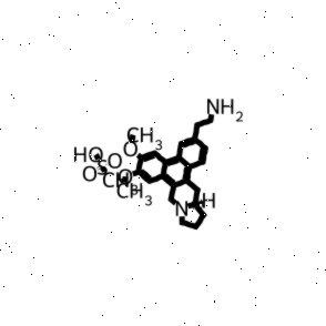 COc1cc2c3c(c4ccc(CCN)cc4c2cc1OC)C[C@@H]1CCCN1C3.CS(=O)(=O)O